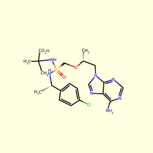 C[C@H](Cn1cnc2c(N)ncnc21)OC[P@@](=O)(N[C@@H](C)c1ccc(Cl)cc1)NC(C)(C)C(=O)O